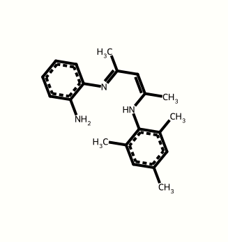 CC(/C=C(/C)Nc1c(C)cc(C)cc1C)=Nc1ccccc1N